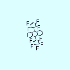 Fc1cc(F)c(F)c(-c2c3ccccc3c(-c3c(F)c(F)c(F)c(F)c3F)c3ccccc23)c1F